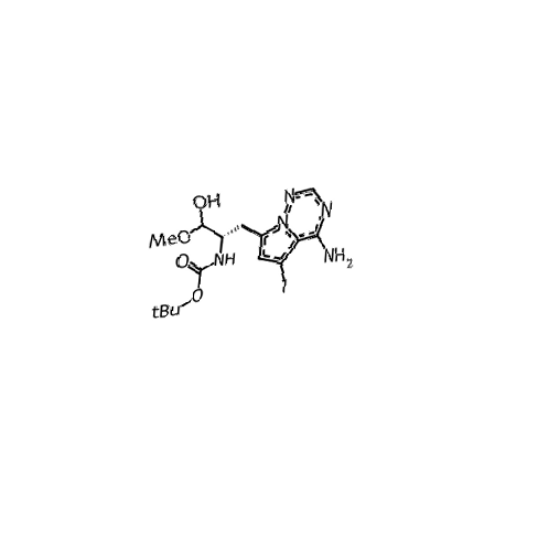 COC(O)[C@H](Cc1cc(I)c2c(N)ncnn12)NC(=O)OC(C)(C)C